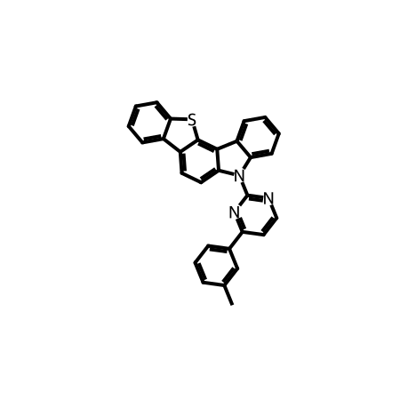 Cc1cccc(-c2ccnc(-n3c4ccccc4c4c5sc6ccccc6c5ccc43)n2)c1